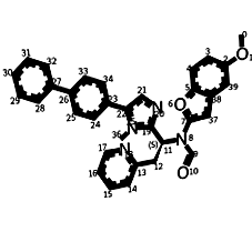 COc1ccc2oc(N(C=O)[C@@H](Cc3ccccn3)c3ncc(-c4ccc(-c5ccccc5)cc4)n3C)cc2c1